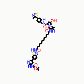 Cc1ncc(-c2ccc3nc(NC(=O)CCCCCCCCCCC(=O)N[C@H](C(=O)N4C[C@H](O)C[C@H]4C(=O)NCc4ccc(-c5scnc5C)cc4)C(C)(C)C)sc3c2)cc1NC(=O)OC(C)C